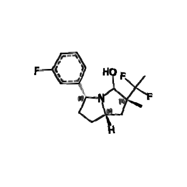 CC(F)(F)[C@]1(C)C[C@@H]2CC[C@H](c3cccc(F)c3)N2C1O